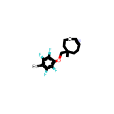 CCc1c(F)c(F)c(OCC2(C)CC/C=C\CCC2)c(F)c1F